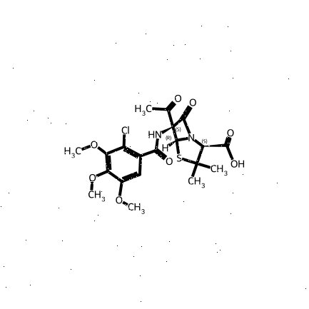 COc1cc(C(=O)N[C@@]2(C(C)=O)C(=O)N3[C@@H](C(=O)O)C(C)(C)S[C@@H]32)c(Cl)c(OC)c1OC